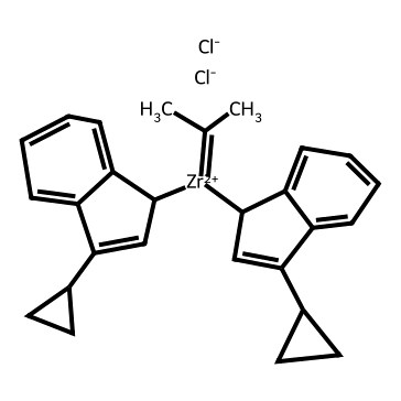 C[C](C)=[Zr+2]([CH]1C=C(C2CC2)c2ccccc21)[CH]1C=C(C2CC2)c2ccccc21.[Cl-].[Cl-]